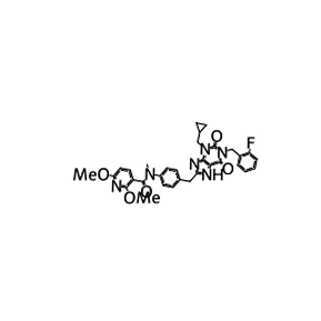 COc1ccc(C(=O)N(C)c2ccc(Cc3nc4c([nH]3)c(=O)n(Cc3ccccc3F)c(=O)n4CC3CC3)cc2)c(OC)n1